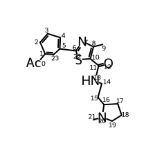 CC(=O)c1cccc(-c2nc(C)c(C(=O)NCCC3CCCN3C)s2)c1